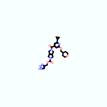 O=C(OCc1c[nH]nn1)N1CC2=C(C1)CN(C(=O)c1cc(OCC3CCOCC3)nc(C3CC3)c1)C2